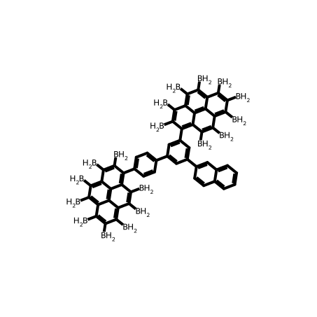 Bc1c(B)c2c(B)c(B)c3c(B)c(B)c(-c4ccc(-c5cc(-c6ccc7ccccc7c6)cc(-c6c(B)c(B)c7c(B)c(B)c8c(B)c(B)c(B)c9c(B)c(B)c6c7c89)c5)cc4)c4c(B)c(B)c(c1B)c2c34